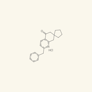 Cl.O=C1CC2(CCCC2)Cc2nc(Cc3ccccc3)ccc21